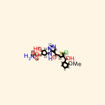 COc1ccccc1C(O)c1cc(C(=O)c2cncnc2N[C@@H]2C[C@H](COS(N)(=O)=O)[C@@H](O)C2)sc1Cl